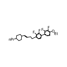 CCCC1CCC(/C=C/CCc2ccc(-c3ccc(OCC)c(F)c3F)c(F)c2F)CC1